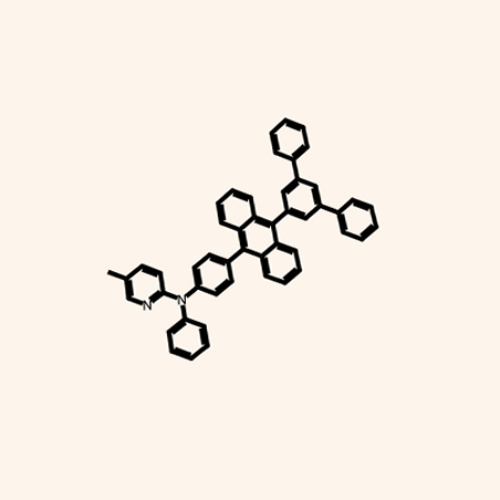 Cc1ccc(N(c2ccccc2)c2ccc(-c3c4ccccc4c(-c4cc(-c5ccccc5)cc(-c5ccccc5)c4)c4ccccc34)cc2)nc1